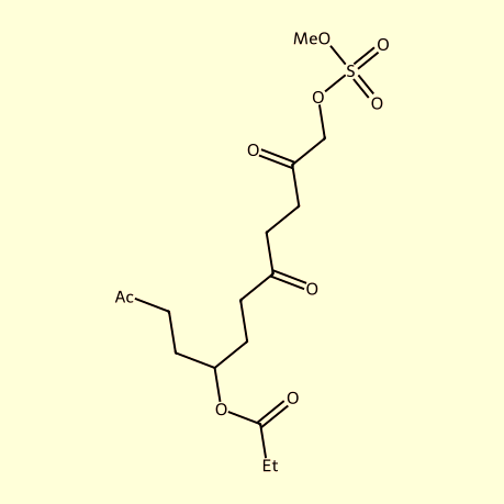 CCC(=O)OC(CCC(C)=O)CCC(=O)CCC(=O)COS(=O)(=O)OC